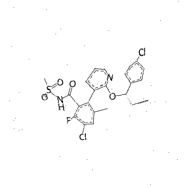 CC[C@H](Oc1ncccc1-c1c(C)cc(Cl)c(F)c1C(=O)NS(C)(=O)=O)c1ccc(Cl)cc1